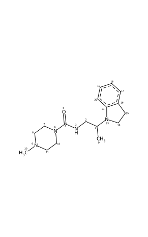 CC(CNC(=O)N1CCN(C)CC1)N1CCc2ccccc21